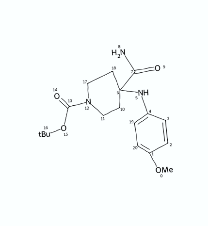 COc1ccc(NC2(C(N)=O)CCN(C(=O)OC(C)(C)C)CC2)cc1